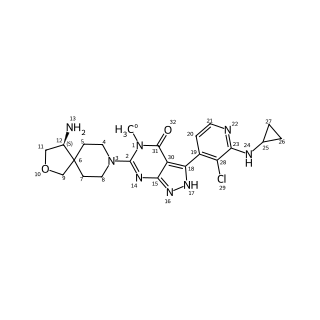 Cn1c(N2CCC3(CC2)COC[C@H]3N)nc2n[nH]c(-c3ccnc(NC4CC4)c3Cl)c2c1=O